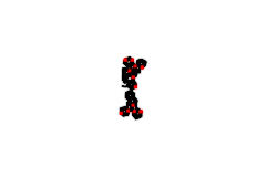 C[Si]1(C)c2cc(-c3ccc4cc(N(c5ccccc5)c5ccccc5)ccc4c3)ccc2-c2ccc(N(c3ccccc3)c3ccccc3)c3cccc1c23